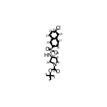 CC(C)(C)OC(=O)N1CCC(NS(=O)(=O)c2ccc3cc(Cl)ccc3c2)C1